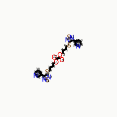 O=C(OCCCCSc1nsnc1C1CN2CCC1CC2)C(=O)OCCCCSc1nsnc1C1CN2CCC1CC2